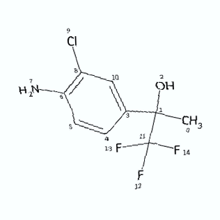 CC(O)(c1ccc(N)c(Cl)c1)C(F)(F)F